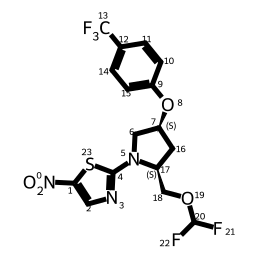 O=[N+]([O-])c1cnc(N2C[C@@H](Oc3ccc(C(F)(F)F)cc3)C[C@H]2COC(F)F)s1